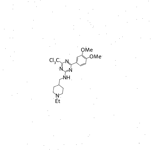 CCN1CCC(CNc2nc(-c3ccc(OC)c(OC)c3)nc(C(Cl)(Cl)Cl)n2)CC1